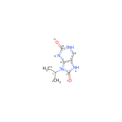 CC(C)n1c(=O)[nH]c2c[nH]c(=O)nc21